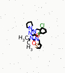 CC(C)n1c(=O)n(Cc2cccs2)c(=O)c2c1nc(N1CCCCC1)n2Cc1c(F)cccc1Cl